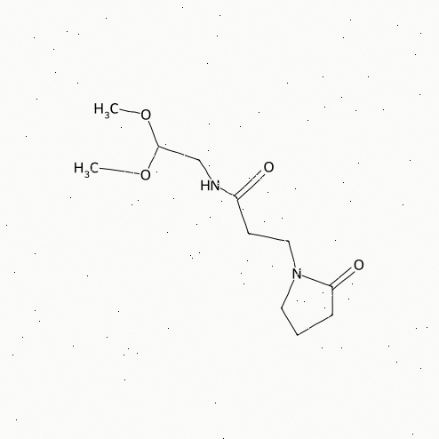 COC(CNC(=O)CCN1CCCC1=O)OC